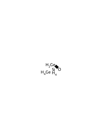 [GeH4].[O]=[GeH2].[SiH4]